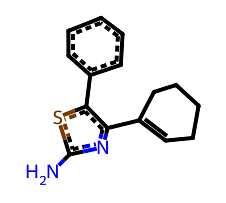 Nc1nc(C2=CCCCC2)c(-c2ccccc2)s1